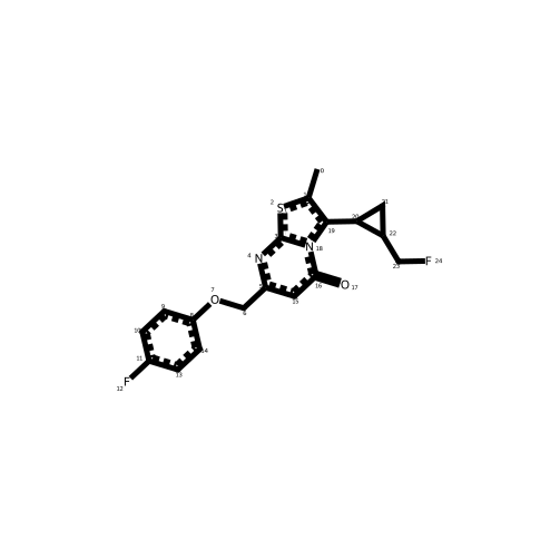 Cc1sc2nc(COc3ccc(F)cc3)cc(=O)n2c1C1CC1CF